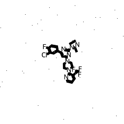 CC1=NCCN1c1nc(-c2ccc(F)c(Cl)c2)cc(N2CCN(c3ncccc3C(F)(F)F)CC2)n1